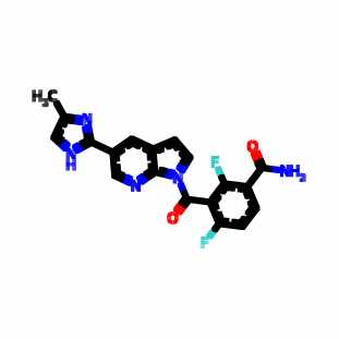 Cc1c[nH]c(-c2cnc3c(ccn3C(=O)c3c(F)ccc(C(N)=O)c3F)c2)n1